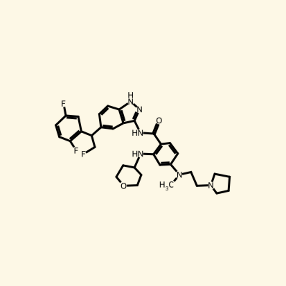 CN(CCN1CCCC1)c1ccc(C(=O)Nc2n[nH]c3ccc(C(CF)c4cc(F)ccc4F)cc23)c(NC2CCOCC2)c1